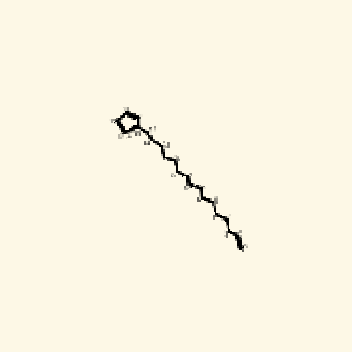 [CH]=CCCCCCCCCCCCCCCc1ccccc1